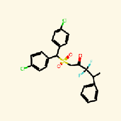 CC(c1ccccc1)C(F)(F)C(=O)CS(=O)(=O)C(c1ccc(Cl)cc1)c1ccc(Cl)cc1